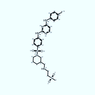 CS(=O)(=O)CCNCC1CCCN(S(=O)(=O)c2ccc(Nc3nccc(Nc4ccc(F)cc4)n3)cc2)C1